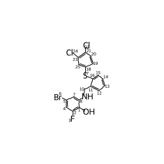 Oc1c(F)cc(Br)cc1NCc1ccccc1Sc1ccc(Cl)c(Cl)c1